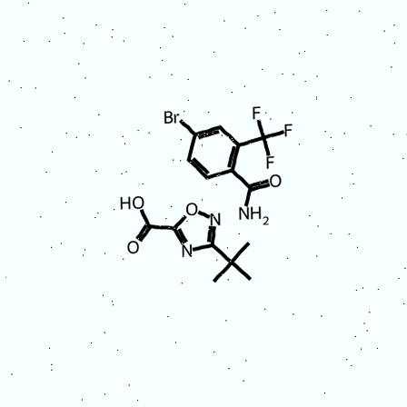 CC(C)(C)c1noc(C(=O)O)n1.NC(=O)c1ccc(Br)cc1C(F)(F)F